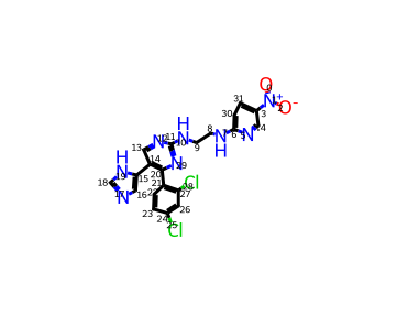 O=[N+]([O-])c1[c]nc(NCCNc2ncc(-c3cnc[nH]3)c(-c3ccc(Cl)cc3Cl)n2)cc1